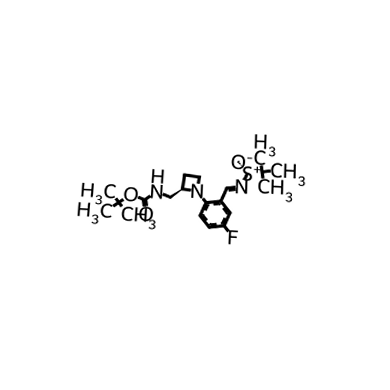 CC(C)(C)OC(=O)NC[C@H]1CCN1c1ccc(F)cc1/C=N/[S@+]([O-])C(C)(C)C